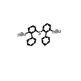 CCCCc1cccc(Sc2cccc(CCCC)c2-c2ccccc2)c1-c1ccccc1